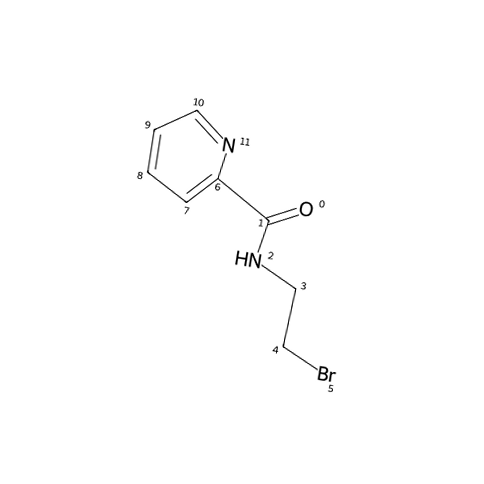 O=C(NCCBr)c1ccccn1